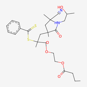 CCCC(=O)OCCOC(=O)C(C)(CC(C)(CC(C)(C)C#N)C(=O)NCC(C)O)SC(=S)c1ccccc1